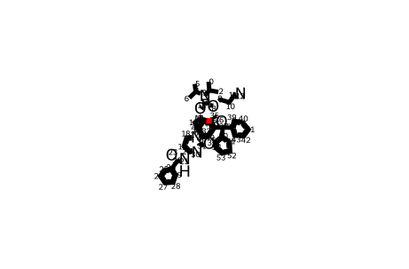 CC(C)N(C(C)C)P(OCCC#N)O[C@H]1C[C@H](n2ccc(NC(=O)c3ccccc3)nc2=O)O[C@@H]1COC(c1ccccc1)(c1ccccc1)c1ccccc1